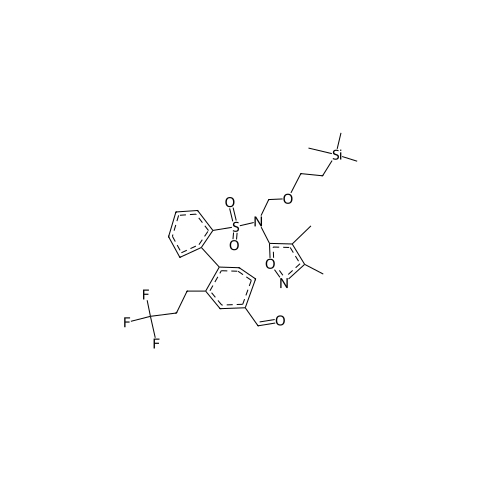 Cc1noc(N(COCC[Si](C)(C)C)S(=O)(=O)c2ccccc2-c2ccc(C=O)cc2CCC(F)(F)F)c1C